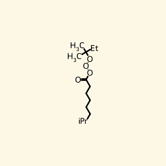 CCC(C)(C)OOOC(=O)CCCCCC(C)C